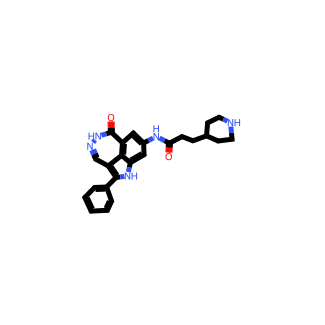 O=C(CCC1CCNCC1)Nc1cc2c3c(c(-c4ccccc4)[nH]c3c1)C=NNC2=O